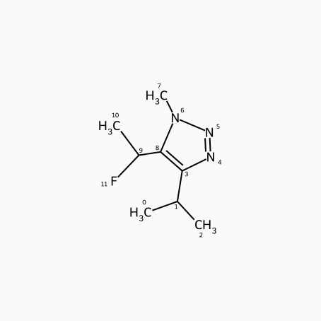 CC(C)c1nnn(C)c1C(C)F